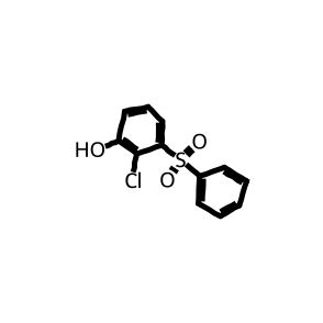 O=S(=O)(c1ccccc1)c1cccc(O)c1Cl